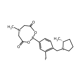 C[C@@H]1CCCN1Cc1ccc(B2OC(=O)CN(C)CC(=O)O2)cc1F